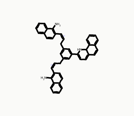 Nc1c(/C=C\Cc2cc(C/C=C\c3ccc4ccccc4c3N)cc(C3=CC=C4C=Cc5ccccc5C4N3)c2)ccc2ccccc12